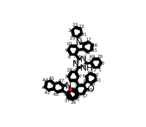 c1ccc(C2=NC(c3cccc4c3c3ccccc3n4-c3ccccc3)=NC(c3ccc(-n4c5ccccc5c5cc6ccccc6cc54)c(-c4c5ccccc5cc5oc6ccccc6c45)c3)N2)cc1